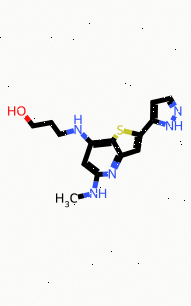 CNc1cc(NCCCO)c2sc(-c3ccn[nH]3)cc2n1